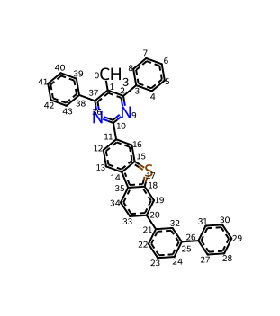 Cc1c(-c2ccccc2)nc(-c2ccc3c(c2)sc2cc(-c4cccc(-c5ccccc5)c4)ccc23)nc1-c1ccccc1